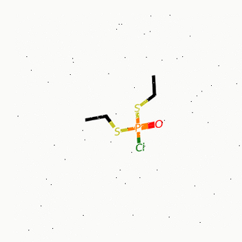 CCSP(=O)(Cl)SCC